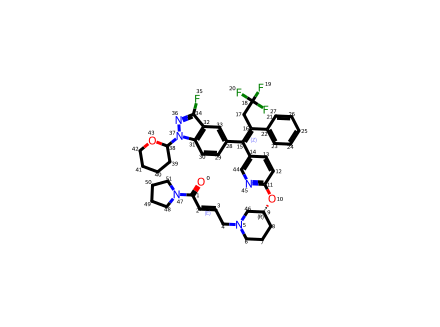 O=C(/C=C/CN1CCC[C@@H](Oc2ccc(/C(=C(/CC(F)(F)F)c3ccccc3)c3ccc4c(c3)c(F)nn4C3CCCCO3)cn2)C1)N1CCCC1